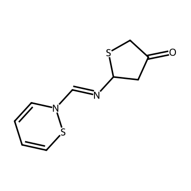 O=C1CSC(N=CN2C=CC=CS2)C1